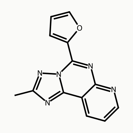 Cc1nc2c3cccnc3nc(-c3ccco3)n2n1